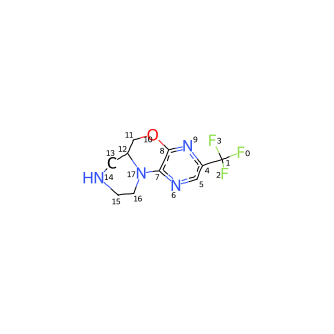 FC(F)(F)c1cnc2c(n1)OCC1CNCCN21